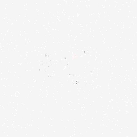 C=C1O[C@@H](C23C[C@@H]4[C@H](C)CC[C@H]4C4(C=O)CC2C=C(C(C)C)[C@]43C(=O)O)C[C@H]1CC1CCCC1